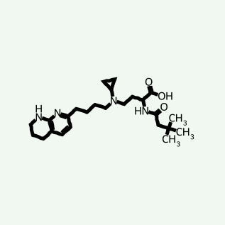 CC(C)(C)CC(=O)NC(CCN(CCCCc1ccc2c(n1)NCCC2)C1CC1)C(=O)O